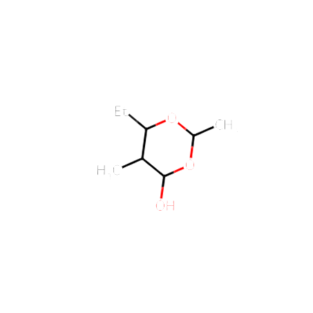 CCC1OC(C)OC(O)C1C